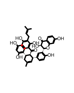 CC(C)=CCc1c(O)ccc(C(=O)[C@@H]2[C@@H](c3ccc(O)cc3O)CC(C)=C[C@H]2c2ccc(O)c([C@H]3Oc4cc(O)ccc4C(=O)[C@@H]3O)c2)c1O